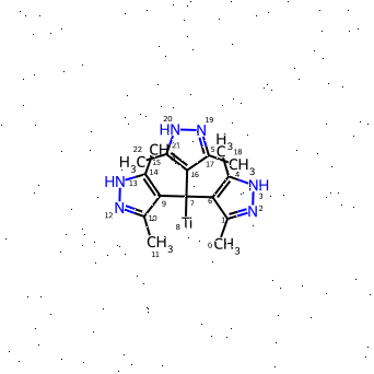 Cc1n[nH]c(C)c1[C]([Ti])(c1c(C)n[nH]c1C)c1c(C)n[nH]c1C